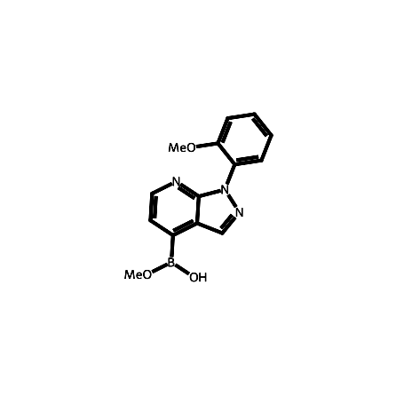 COB(O)c1ccnc2c1cnn2-c1ccccc1OC